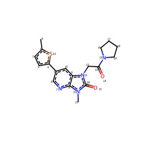 Cc1ccc(-c2cnc3c(c2)n(CC(=O)N2CCCC2)c(=O)n3C)s1